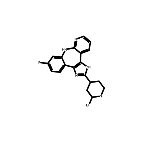 CCC1CC(c2nc3c([nH]2)-c2cccnc2Nc2cc(F)ccc2-3)CC[N]1